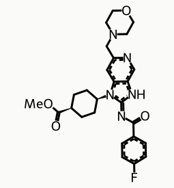 COC(=O)[C@H]1CC[C@@H](n2/c(=N/C(=O)c3ccc(F)cc3)[nH]c3cnc(CN4CCOCC4)cc32)CC1